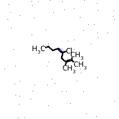 CCC/C=C(/Cl)CC(C)=C(C)C